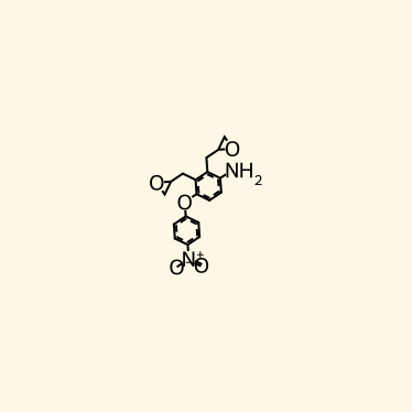 Nc1ccc(Oc2ccc([N+](=O)[O-])cc2)c(CC2CO2)c1CC1CO1